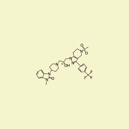 Cn1c(=O)n(C2CCN(C[C@H](O)Cn3nc(-c4ccc(C(F)(F)F)cc4)c4c3CCN(S(C)(=O)=O)C4)CC2)c2ccccc21